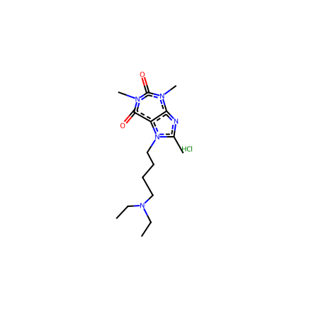 CCN(CC)CCCCn1c(C)nc2c1c(=O)n(C)c(=O)n2C.Cl